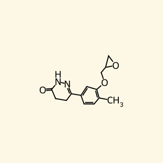 Cc1ccc(C2=NNC(=O)CC2)cc1OCC1CO1